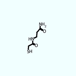 NC(=O)CCNC(=O)CS